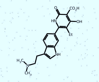 CCc1c(-c2ccc3c(CCN(C)C)c[nH]c3c2)[nH]c(=O)c(C(=O)O)c1O